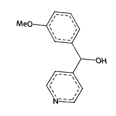 COc1cccc(C(O)c2ccncc2)c1